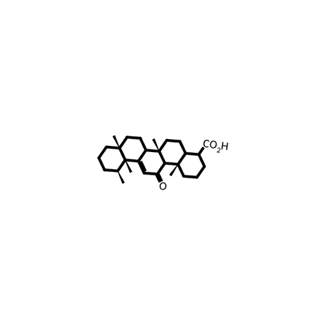 C[C@H]1CCC[C@]2(C)CCC3C(=CC(=O)C4[C@@]3(C)CCC3C(C(=O)O)CCC[C@@]34C)[C@]12C